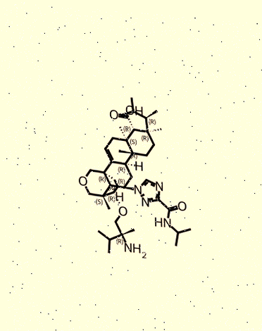 CC(C)NC(=O)c1ncn([C@@H]2C[C@@]34COC[C@](C)([C@@H]3CC[C@H]3C4=CC[C@@]4(C)[C@H](C(=O)O)[C@@](C)([C@H](C)C(C)C)CC[C@]34C)[C@H]2OC[C@](C)(N)C(C)C)n1